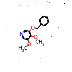 COc1cncc(OCc2ccccc2)c1OC